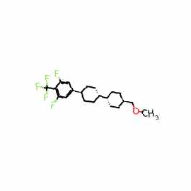 COC[C@H]1CC[C@H]([C@H]2CC[C@H](c3cc(F)c(C(F)(F)F)c(F)c3)CC2)CC1